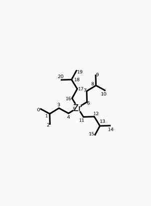 CC(C)C[CH2][Zr]([CH2]CC(C)C)([CH2]CC(C)C)[CH2]CC(C)C